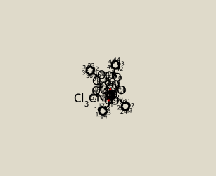 N=C(O[C@H]1OC2(COP(=O)(OCc3ccccc3)OCc3ccccc3)C([C@H]1OC(=O)c1ccccc1)[C@@H](OC(=O)c1ccccc1)[C@@H]2OC(=O)c1ccccc1)C(Cl)(Cl)Cl